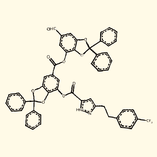 O=Cc1cc(OC(=O)c2cc(OC(=O)c3cc(CCc4ccc(C(F)(F)F)cc4)n[nH]3)c3c(c2)OC(c2ccccc2)(c2ccccc2)O3)c2c(c1)OC(c1ccccc1)(c1ccccc1)O2